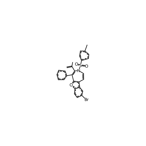 C=C(C)C1=C(c2ccccc2)c2oc3ccc(Br)cc3c2C=CN1S(=O)(=O)c1ccc(C)cc1